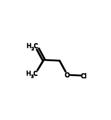 C=C(C)COCl